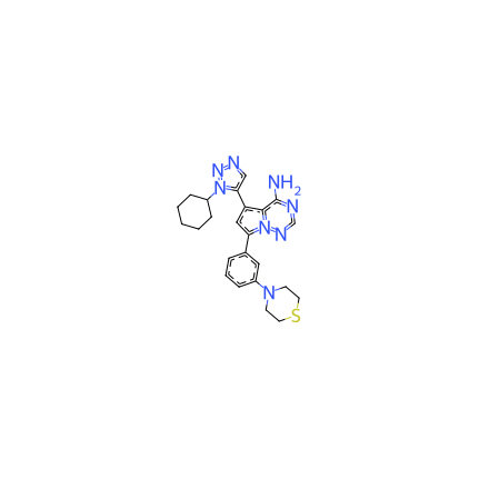 Nc1ncnn2c(-c3cccc(N4CCSCC4)c3)cc(-c3cnnn3C3CCCCC3)c12